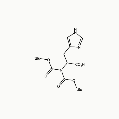 CC(C)(C)OC(=O)N(C(=O)OC(C)(C)C)C(Cc1c[nH]cn1)C(=O)O